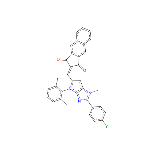 Cc1cccc(C)c1-n1c(C=C2C(=O)c3cc4ccccc4cc3C2=O)cc2c1nc(-c1ccc(Cl)cc1)n2C